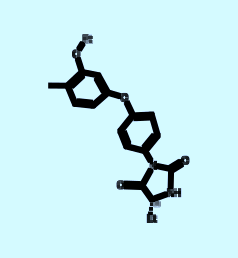 CCOc1cc(Oc2ccc(N3C(=O)N[C@H](CC)C3=O)cc2)ccc1C